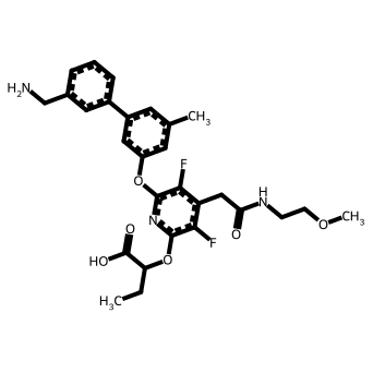 CCC(Oc1nc(Oc2cc(C)cc(-c3cccc(CN)c3)c2)c(F)c(CC(=O)NCCOC)c1F)C(=O)O